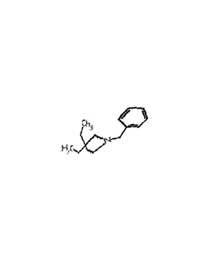 CCC1(CC)CN(Cc2ccccc2)C1